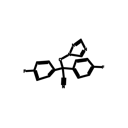 N#CC(On1cncn1)(c1ccc(F)cc1)c1ccc(F)cc1